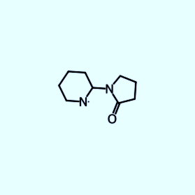 O=C1CCCN1C1CCCC[N]1